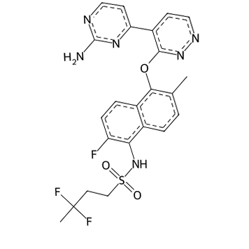 Cc1ccc2c(NS(=O)(=O)CCC(C)(F)F)c(F)ccc2c1Oc1nnccc1-c1ccnc(N)n1